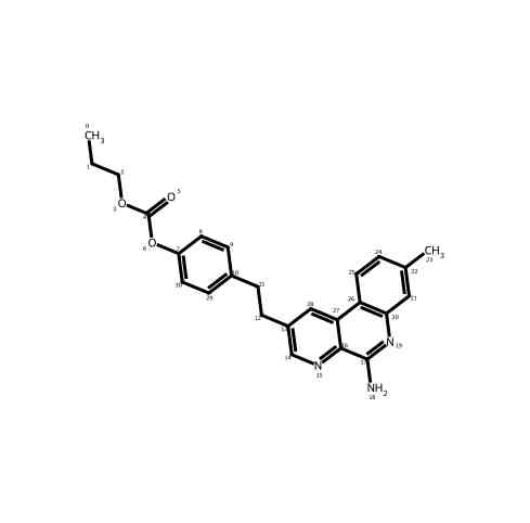 CCCOC(=O)Oc1ccc(CCc2cnc3c(N)nc4cc(C)ccc4c3c2)cc1